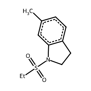 CCS(=O)(=O)N1CCc2ccc(C)cc21